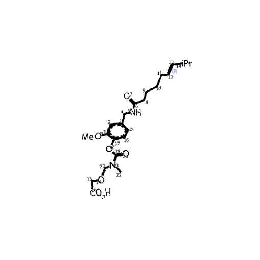 COc1cc(CNC(=O)CCCC/C=C/C(C)C)ccc1OC(=O)N(C)COCC(=O)O